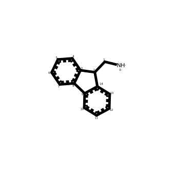 [NH]CC1c2ccccc2-c2ccccc21